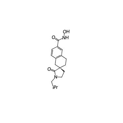 CC(C)CN1CC[C@@]2(CCc3cc(C(=O)NO)ccc3C2)C1=O